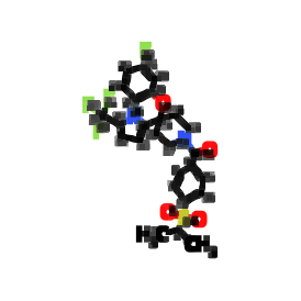 CC(C)S(=O)(=O)c1ccc(C(=O)N2CCC3(CC2)Oc2cc(F)ccc2-n2c(C(F)(F)F)ccc23)cc1